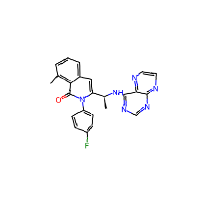 Cc1cccc2cc([C@H](C)Nc3ncnc4nccnc34)n(-c3ccc(F)cc3)c(=O)c12